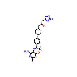 Cc1nc(N)c2c(n1)OC(C)(C)C(c1ccc([C@H]3CC[C@H](CC(=O)Cc4nn[nH]n4)CC3)cc1)=N2